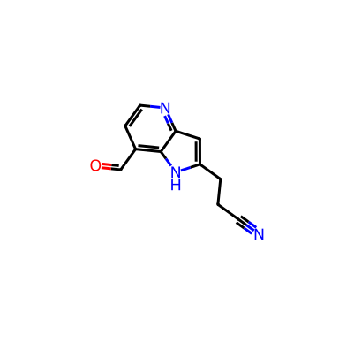 N#CCCc1cc2nccc(C=O)c2[nH]1